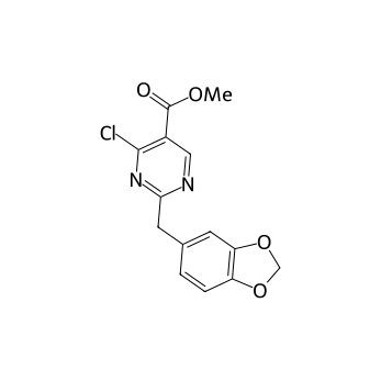 COC(=O)c1cnc(Cc2ccc3c(c2)OCO3)nc1Cl